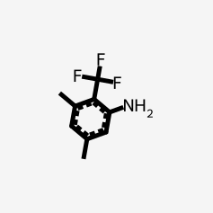 Cc1cc(C)c(C(F)(F)F)c(N)c1